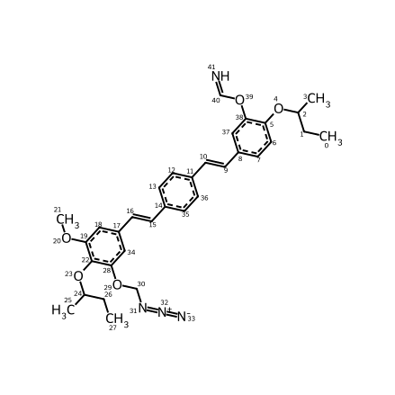 CCC(C)Oc1ccc(/C=C/c2ccc(/C=C/c3cc(OC)c(OC(C)CC)c(OCN=[N+]=[N-])c3)cc2)cc1OC=N